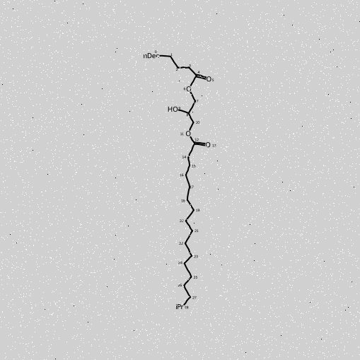 CCCCCCCCCCCCCC(=O)OCC(O)COC(=O)CCCCCCCCCCCCCCC(C)C